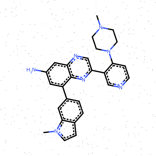 CN1CCN(c2ccncc2-c2cnc3cc(N)cc(-c4ccc5ccn(C)c5c4)c3n2)CC1